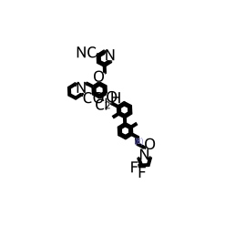 Cc1c(/C=C/C(=O)N2CCC(F)(F)C2)cccc1-c1cccc(COc2cc(OCc3cncc(C#N)c3)c(CN3CCCCC3C(=O)O)cc2Cl)c1C